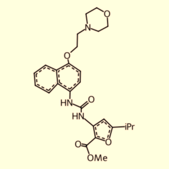 COC(=O)c1oc(C(C)C)cc1NC(=O)Nc1ccc(OCCN2CCOCC2)c2ccccc12